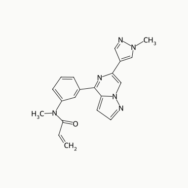 C=CC(=O)N(C)c1cccc(-c2nc(-c3cnn(C)c3)cn3nccc23)c1